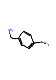 NCc1ccc([AsH2])cc1